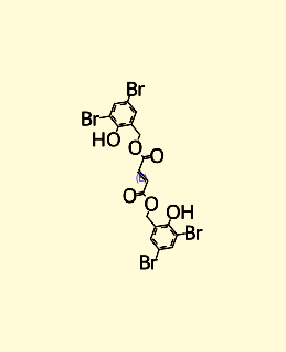 O=C(/C=C/C(=O)OCc1cc(Br)cc(Br)c1O)OCc1cc(Br)cc(Br)c1O